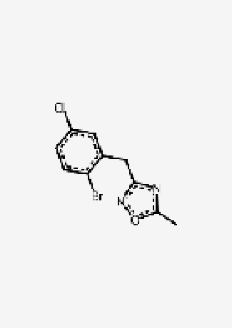 Cc1nc(Cc2cc(Cl)ccc2Br)no1